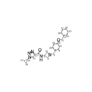 O=C(NC1CN(Cc2ccc(OCc3ccccc3)cc2)C1)c1cn(C2CC2)nn1